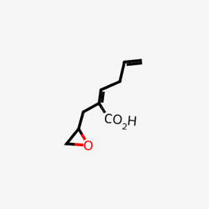 C=CC/C=C(/CC1CO1)C(=O)O